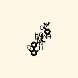 CCN(C)C(=O)c1cccc(NC(O)c2c(C)[nH]c(-c3ccc(OC)c(-c4c(C)cccc4C)c3)[n+]2[O-])c1